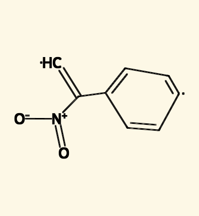 [CH]=C(c1cc[c]cc1)[N+](=O)[O-]